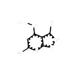 CC(C)c1cc(OC(=O)O)c2c(C(C)C)noc2n1